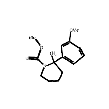 COc1cccc(C2(C)CCCCN2C(=O)OC(C)(C)C)c1